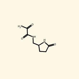 NC(=O)C(=O)NCC1CCC(=O)N1